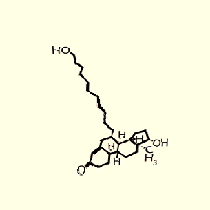 C[C@]12CC[C@H]3[C@@H]([C@H](CCCCCCCCCCCO)CC4=CC(=O)CC[C@@H]43)[C@@H]1CC[C@@H]2O